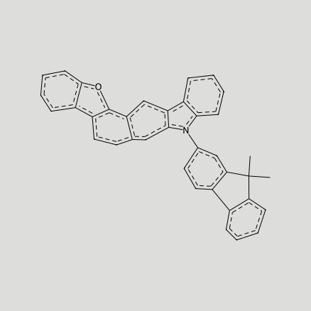 CC1(C)c2ccccc2-c2ccc(-n3c4ccccc4c4cc5c(ccc6c7ccccc7oc56)cc43)cc21